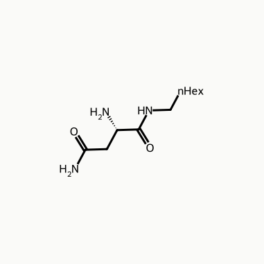 CCCCCCCNC(=O)[C@@H](N)CC(N)=O